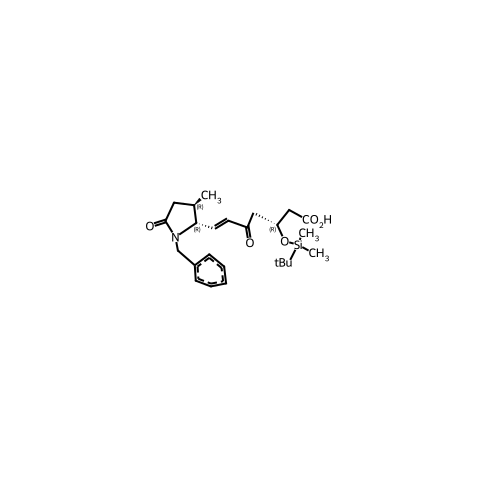 C[C@@H]1CC(=O)N(Cc2ccccc2)[C@H]1C=CC(=O)C[C@H](CC(=O)O)O[Si](C)(C)C(C)(C)C